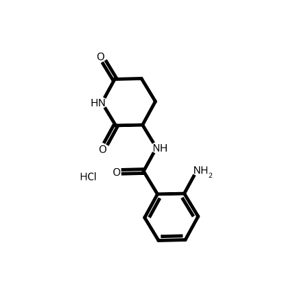 Cl.Nc1ccccc1C(=O)NC1CCC(=O)NC1=O